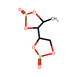 CC1OS(=O)OC1C1COS(=O)O1